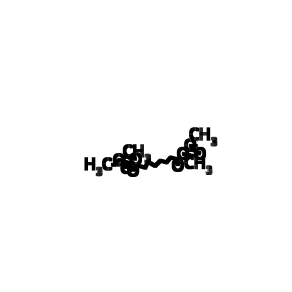 CCOS(=O)C(C)OC(=O)CCCCCCC(=O)OC(C)S(=O)OCC